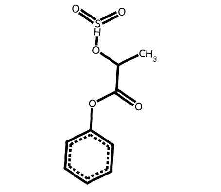 CC(O[SH](=O)=O)C(=O)Oc1ccccc1